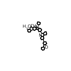 CC1(C)c2ccccc2-c2cc3c4cc(-c5nc6ccc(-c7ccc8oc9ccccc9c8c7)cc6c6ccccc56)ccc4n(-c4ccccc4)c3cc21